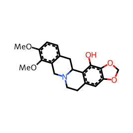 COc1ccc2c(c1OC)CN1CCc3cc4c(c(O)c3C1C2)OCO4